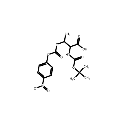 CC(OC(=O)Oc1ccc([N+](=O)[O-])cc1)C(NC(=O)OC(C)(C)C)C(=O)O